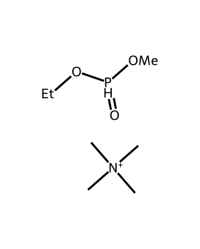 CCO[PH](=O)OC.C[N+](C)(C)C